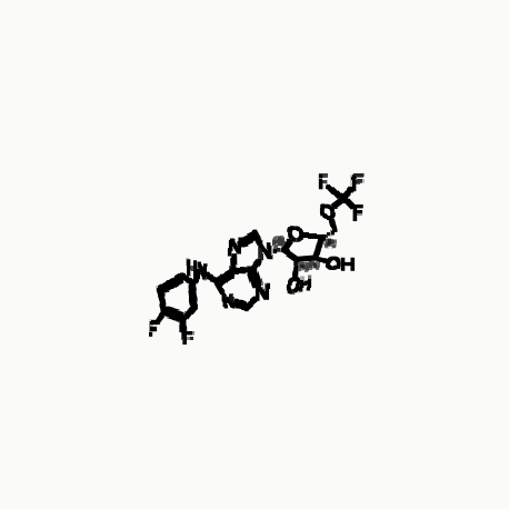 O[C@@H]1[C@H](O)[C@@H](COC(F)(F)F)O[C@H]1n1cnc2c(Nc3ccc(F)c(F)c3)ncnc21